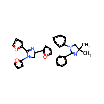 CC1(C)CN(c2ccccc2)C(c2ccccc2)=N1.c1coc(C2=NC(c3ccco3)CN2c2ccco2)c1